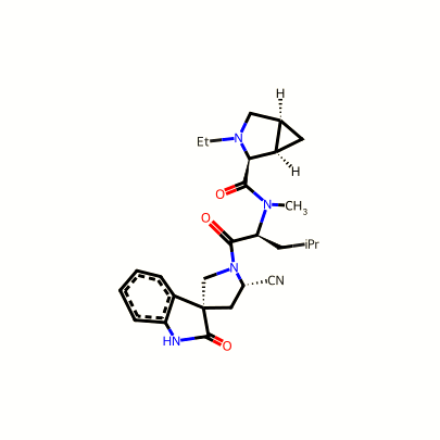 CCN1C[C@H]2C[C@H]2[C@H]1C(=O)N(C)[C@@H](CC(C)C)C(=O)N1C[C@]2(C[C@H]1C#N)C(=O)Nc1ccccc12